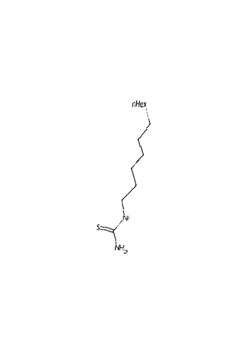 CCCCCCCCCCCC[N]C(N)=S